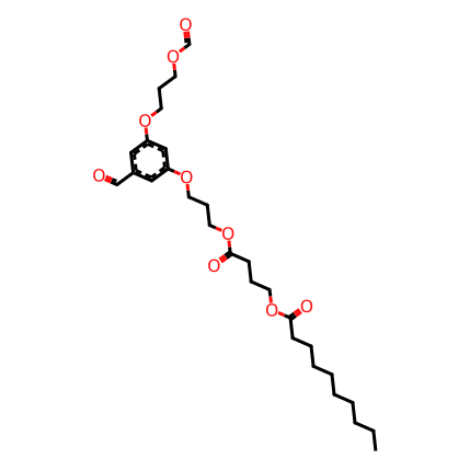 CCCCCCCCCC(=O)OCCCC(=O)OCCCOc1cc(C=O)cc(OCCCOC=O)c1